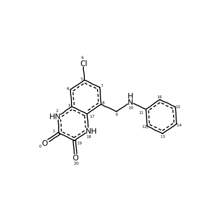 O=c1[nH]c2cc(Cl)cc(CNc3[c]cccc3)c2[nH]c1=O